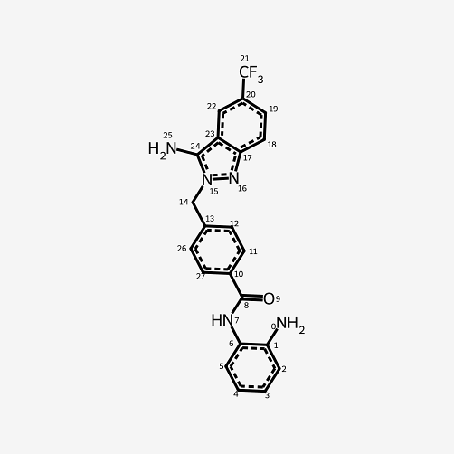 Nc1ccccc1NC(=O)c1ccc(Cn2nc3ccc(C(F)(F)F)cc3c2N)cc1